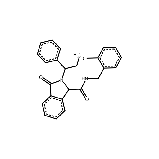 CCC(c1ccccc1)N1C(=O)c2ccccc2C1C(=O)NCc1ccccc1Cl